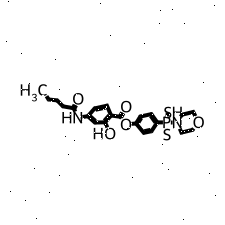 CCCCC(=O)Nc1ccc(C(=O)Oc2ccc(P(=S)(S)N3CCOCC3)cc2)c(O)c1